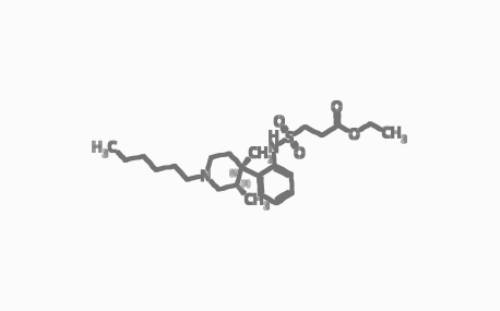 CCCCCCN1CC[C@](C)(c2ccccc2NS(=O)(=O)CCC(=O)OCC)[C@@H](C)C1